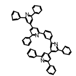 c1ccc(-c2cc(-c3cc(-c4ccccc4)nc(-c4cccc(-c5cc(-c6cc(-c7ccccc7)nc(-c7ccccc7)c6)cc(-c6ccccc6)n5)c4)c3)cc(-c3ccccc3)n2)cc1